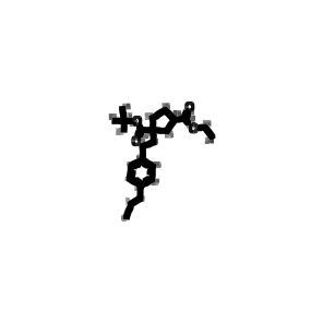 CCCc1ccc(CCC2(C(=O)OC(C)(C)C)CCC(C(=O)OCC)C2)cc1